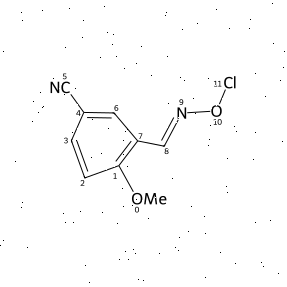 COc1ccc(C#N)cc1C=NOCl